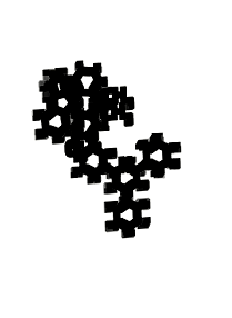 CC1(C)c2ccccc2C2(c3ccccc3-c3ccccc32)c2cc3oc4ccc(-c5cc(-c6ccccc6)cc(-c6ccccc6)n5)cc4c3cc21